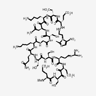 CN[C@@H](CCC(=O)O)C(=O)N[C@@H](CS)C(=O)C(=O)[C@H](CC(=O)O)NC(=O)[C@H](CCCNC(N)N)NC(=O)[C@H](CS)NC(=O)[C@H](CO)NN[C@@H](CCC(N)=O)C(=O)N[C@@H](CCCCN)C(=O)NCC(=O)N[C@@H](CS)C(=O)N[C@@H](CC(N)=O)C(=O)C(=O)[C@H](CCCCN)NC(=O)[C@H](CC(=O)O)NC(=O)[C@H](CCC(=O)O)NNCCn1c([N+](=O)[O-])cnc1C